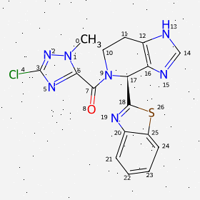 Cn1nc(Cl)nc1C(=O)N1CCc2[nH]cnc2[C@H]1c1nc2ccccc2s1